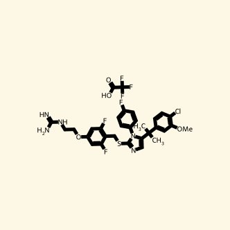 COc1cc(C(C)(C)c2cnc(SCc3c(F)cc(OCCNC(=N)N)cc3F)n2-c2ccc(F)cc2)ccc1Cl.O=C(O)C(F)(F)F